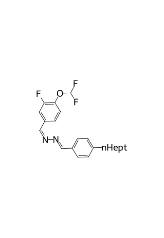 CCCCCCCc1ccc(/C=N/N=C\c2ccc(OC(F)F)c(F)c2)cc1